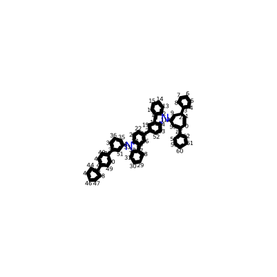 C1=CC(c2ccccc2)C=C(n2c3ccccc3c3cc(-c4ccc5c(c4)c4ccccc4n5-c4cccc(-c5ccc(-c6ccccc6)cc5)c4)ccc32)C=C1c1ccccc1